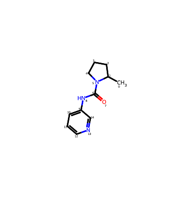 CC1CCCN1C(=O)Nc1cccnc1